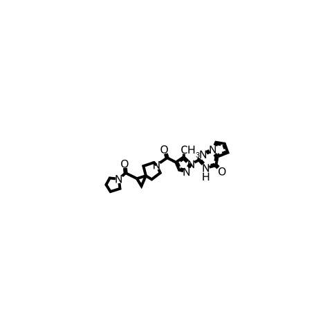 Cc1c(C(=O)N2CCC3(CC2)CC3C(=O)N2CCCC2)cnn1-c1nn2cccc2c(=O)[nH]1